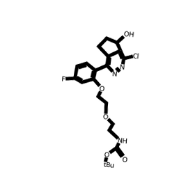 CC(C)(C)OC(=O)NCCOCCOc1cc(F)ccc1-c1nnc(Cl)c2c1CCC2O